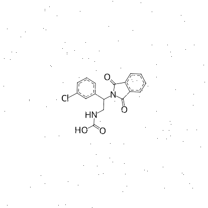 O=C(O)NCC(c1cccc(Cl)c1)N1C(=O)c2ccccc2C1=O